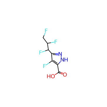 O=C(O)c1[nH]nc(C(F)C(F)CF)c1F